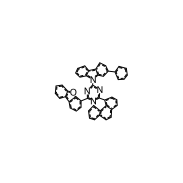 c1ccc(-c2ccc3c4ccccc4n(-c4nc(-c5cccc6c5oc5ccccc56)nc(-c5cccc6ccc7ccccc7c56)n4)c3c2)cc1